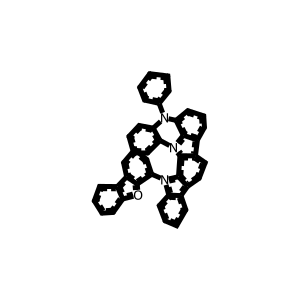 c1ccc(N2c3ccccc3-n3c4c2cccc4c2ccc4c5ccccc5n(-c5cccc6c5oc5ccccc56)c4c23)cc1